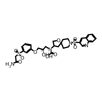 NC(=O)CS(=O)(=O)c1cccc(OC[C@@H](O)CN(C(=O)O)C2COC3(CCN(S(=O)(=O)c4cnc5ccccc5c4)CC3)C2)c1